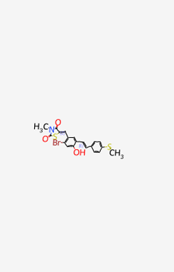 CSc1ccc(/C=C/c2cc(/C=C3\SC(=O)N(C)C3=O)c(Br)cc2O)cc1